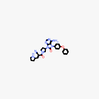 N#C/C(=C\C1CCCN1)C(=O)N1CCC(n2c(=O)n(-c3ccc(Oc4ccccc4)cc3)c3c(N)ncnc32)C1